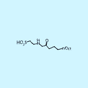 CCCCCCCCCCCC(=O)CNCCS(=O)(=O)O